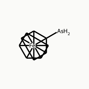 [AsH2][C]12[CH]3[CH]4[CH]5[CH]1[Fe]45321678[CH]2[CH]1[CH]6[CH]7[CH]28